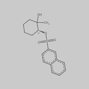 CC1(O)CCCC[C@@H]1OS(=O)(=O)c1ccc2ccccc2c1